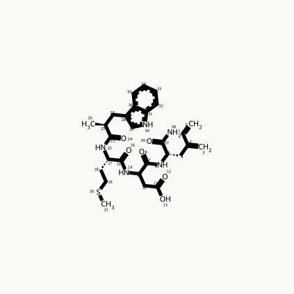 C=CC(=C)C[C@H](NC(=O)C(CC(=O)O)NC(=O)[C@H](CCSC)NC(=O)[C@@H](C)Cc1c[nH]c2ccccc12)C(N)=O